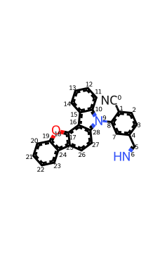 N#Cc1ccc(C=N)cc1-n1c2ccccc2c2c3oc4ccccc4c3ccc21